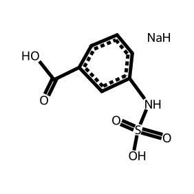 O=C(O)c1cccc(NS(=O)(=O)O)c1.[NaH]